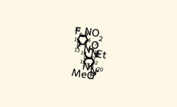 CCN1C(=O)N(c2cc([N+](=O)[O-])c(F)cc2C)Cc2cnc(N(C)OC)cc21